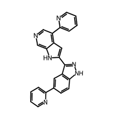 c1ccc(-c2ccc3[nH]nc(-c4cc5c(-c6ccccn6)cncc5[nH]4)c3c2)nc1